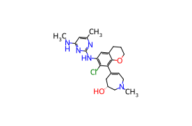 CNc1cc(C)nc(Nc2cc3c(c(C4=CCN(C)C[C@H](O)C4)c2Cl)OCCC3)n1